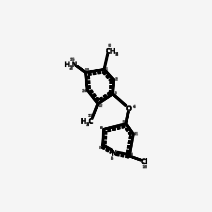 Cc1cc(Oc2ccnc(Cl)c2)c(C)cc1N